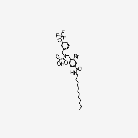 CCCCCCCCCCCCNC(=O)c1ccc(CN(Cc2cccc(OC(F)(F)F)c2)C(=O)C(=O)O)c(Br)c1